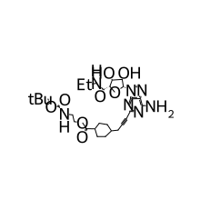 CCNC(=O)[C@H]1O[C@@H](n2cnc3c(N)nc(C#CCC4CCC(C(=O)OCCNC(=O)OC(C)(C)C)CC4)nc32)[C@@H](O)C1O